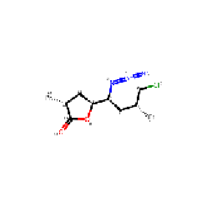 CC(C)[C@@H](CCl)C[C@H](N=[N+]=[N-])[C@@H]1C[C@@H](C(C)C)C(=O)O1